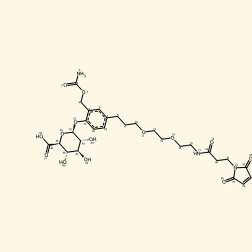 NC(=O)OCc1cc(CCCOCCOCCNC(=O)CCN2C(=O)C=CC2=O)ccc1O[C@@H]1O[C@H](C(=O)O)[C@@H](O)[C@H](O)[C@H]1O